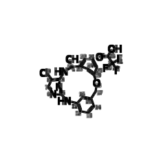 C[C@H]1Nc2nc(ncc2Cl)Nc2cccc(c2)COc2cccc1c2.O=C(O)C(F)(F)F